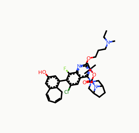 CCN(C)CCCOc1nc(N2CC3CCC(C2)N3C(=O)OC(C)(C)C)c2cc(Cl)c(-c3cc(O)cc4c3CC=CC=C4)c(F)c2n1